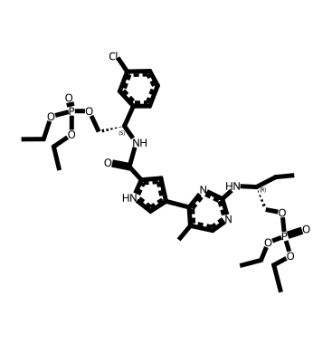 CCOP(=O)(OCC)OC[C@@H](CC)Nc1ncc(C)c(-c2c[nH]c(C(=O)N[C@H](COP(=O)(OCC)OCC)c3cccc(Cl)c3)c2)n1